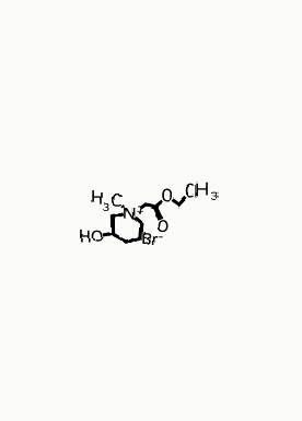 CCOC(=O)C[N+]1(C)CCCC(O)C1.[Br-]